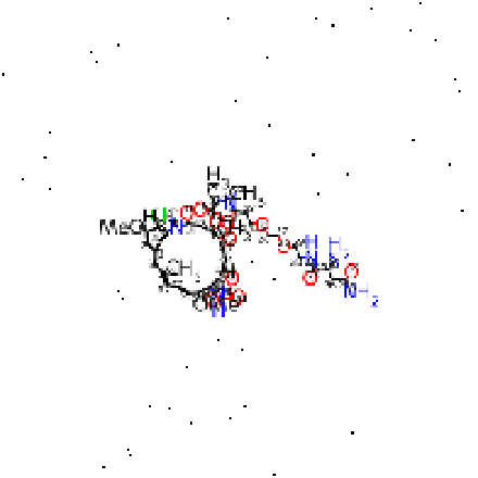 COc1cc2cc(c1Cl)N(C)C(=O)C[C@H](OC(=O)[C@H](C)N(C)C(=O)CCOCCOCCNC(=O)[C@@H](N)CC(N)=O)[C@]1(C)OC1C[C@@H]1C[C@@](O)(NC(=O)O1)[C@H](OC)/C=C/C=C(\C)C2